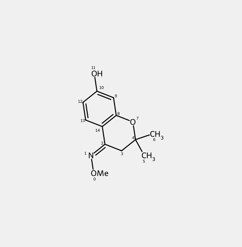 CON=C1CC(C)(C)Oc2cc(O)ccc21